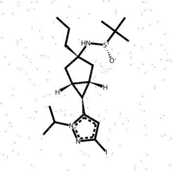 CCC[C@]1(N[S@@+]([O-])C(C)(C)C)C[C@@H]2[C@H](C1)[C@H]2c1cc(I)nn1C(C)C